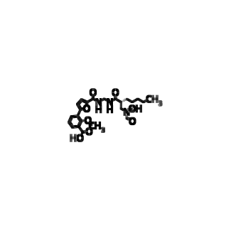 CCCCC[C@H](CN(O)C=O)C(=O)NCNC(=O)c1ccc(-c2cccc(C(=O)O)c2OC)o1